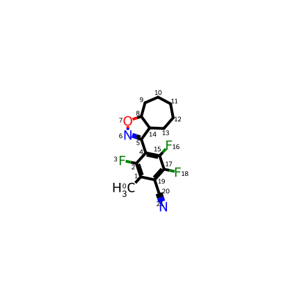 Cc1c(F)c(C2=NOC3CCCCCC23)c(F)c(F)c1C#N